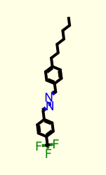 CCCCCCCc1ccc(C=NN=Cc2ccc(C(F)(F)F)cc2)cc1